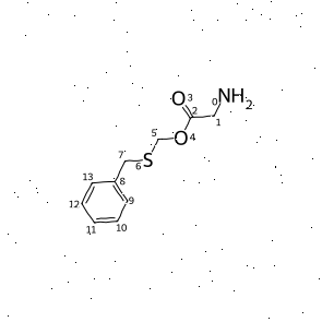 NCC(=O)OCSCc1ccccc1